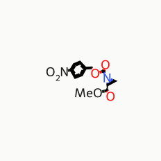 COC(=O)[C@@H]1CN1C(=O)OCc1ccc([N+](=O)[O-])cc1